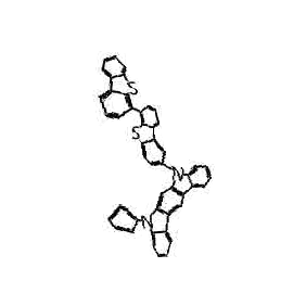 c1ccc(-n2c3ccccc3c3cc4c5ccccc5n(-c5ccc6sc7c(-c8cccc9c8sc8ccccc89)cccc7c6c5)c4cc32)cc1